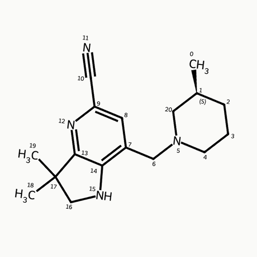 C[C@H]1CCCN(Cc2cc(C#N)nc3c2NCC3(C)C)C1